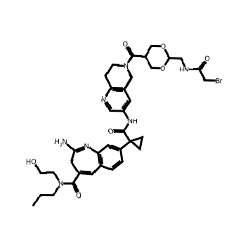 CCCN(CCO)C(=O)C1=Cc2ccc(C3(C(=O)Nc4cnc5c(c4)CN(C(=O)C4COC(CNC(=O)CBr)OC4)CC5)CC3)cc2N=C(N)C1